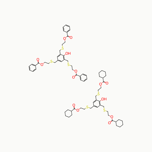 O=C(OCCSCc1cc(CSCCOC(=O)C2CCCCC2)c(O)c(CSCCOC(=O)C2CCCCC2)c1)C1CCCCC1.O=C(OCCSCc1cc(CSCCOC(=O)c2ccccc2)c(O)c(CSCCOC(=O)c2ccccc2)c1)c1ccccc1